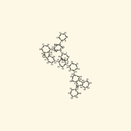 c1ccc(-c2nc(-c3ccccc3)nc(-c3cccc4oc5ccc(-c6ccc(-c7cccc(-c8ccc9c(c8)c8ccccc8n9-c8ccccc8)c7)cc6)cc5c34)n2)cc1